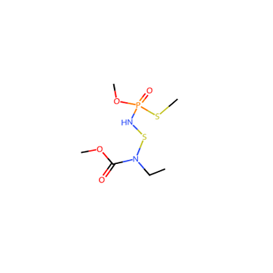 CCN(SNP(=O)(OC)SC)C(=O)OC